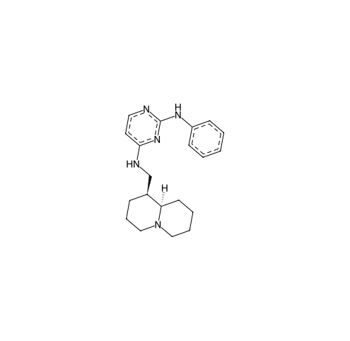 c1ccc(Nc2nccc(NC[C@@H]3CCCN4CCCC[C@H]34)n2)cc1